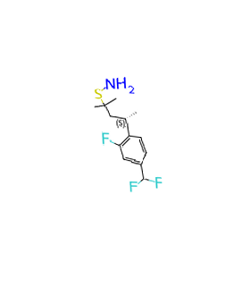 C[C@@H](CC(C)(C)SN)c1ccc(C(F)F)cc1F